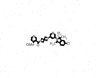 C=C1c2ccc(Cl)cc2C(C)(C)N1c1cncc(N2CC3(CN(C(=O)c4cnccc4OC)C3)C2)c1